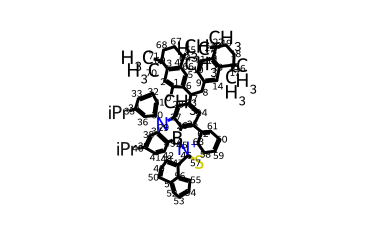 Cc1cc2c(cc1C(Cc1ccc3c(c1)C(C)(C)CCC3(C)C)c1cc3c4c(c1)N(c1cccc(C(C)C)c1)c1cc(C(C)C)ccc1B4[N+]1=C(c4cccc5ccccc45)SC4C=CC=C3C41)C(C)(C)CCC2(C)C